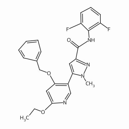 CCOc1cc(OCc2ccccc2)c(-c2cc(C(=O)Nc3c(F)cccc3F)nn2C)cn1